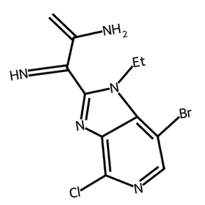 C=C(N)C(=N)c1nc2c(Cl)ncc(Br)c2n1CC